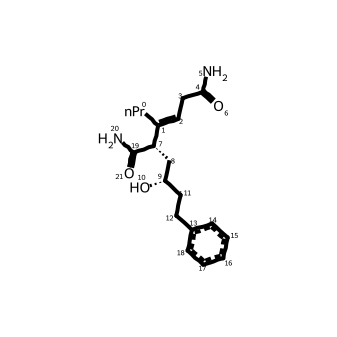 CCCC(=CCC(N)=O)[C@H](C[C@@H](O)[CH]Cc1ccccc1)C(N)=O